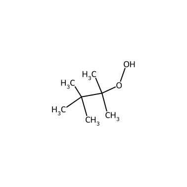 CC(C)(C)C(C)(C)OO